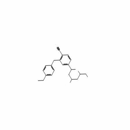 CCc1ccc(Cc2cc(C3CC(O)CC(CO)O3)ccc2C#N)cc1